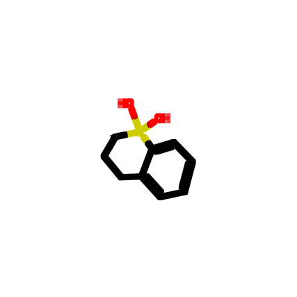 OS1(O)[CH]CCc2ccccc21